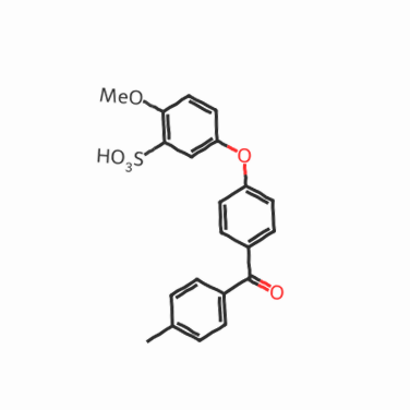 COc1ccc(Oc2ccc(C(=O)c3ccc(C)cc3)cc2)cc1S(=O)(=O)O